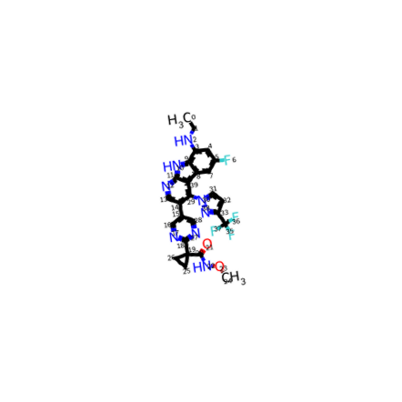 CCNc1cc(F)cc2c1[nH]c1ncc(-c3cnc(C4(C(=O)NOC)CC4)nc3)c(-n3ccc(C(F)(F)F)n3)c12